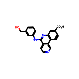 O=C(O)c1c#cc2c(c1)nc(Nc1cccc(CO)c1)c1ccncc12